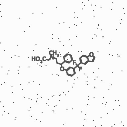 CN(CCC(Oc1cccc(C(F)(F)c2ccc3occc3c2)c1)c1ccccc1)CC(=O)O